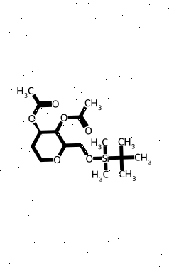 CC(=O)OC1C(CO[Si](C)(C)C(C)(C)C)OCC[C@H]1OC(C)=O